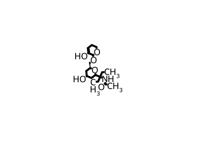 CCC(CC)(NC(C)=O)C1CC(O)C[C@@H](COC2OCCC=C2O)O1